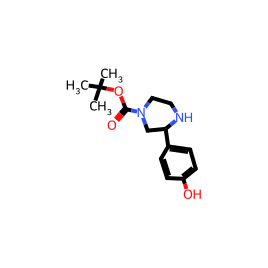 CC(C)(C)OC(=O)N1CCNC(c2ccc(O)cc2)C1